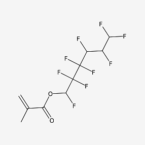 C=C(C)C(=O)OC(F)C(F)(F)C(F)(F)C(F)C(F)C(F)F